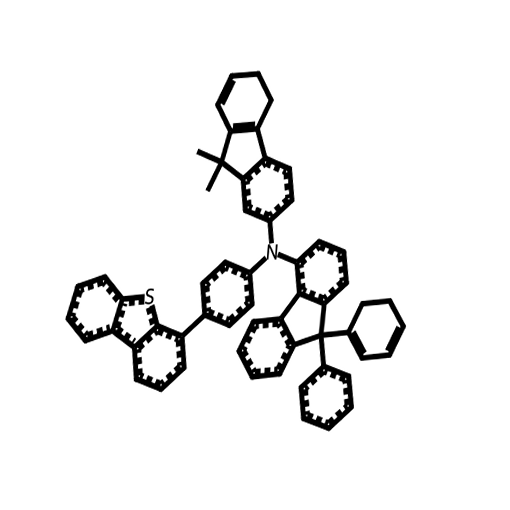 CC1(C)C2=C(CCC=C2)c2ccc(N(c3ccc(-c4cccc5c4sc4ccccc45)cc3)c3cccc4c3-c3ccccc3C4(C3=CC=CCC3)c3ccccc3)cc21